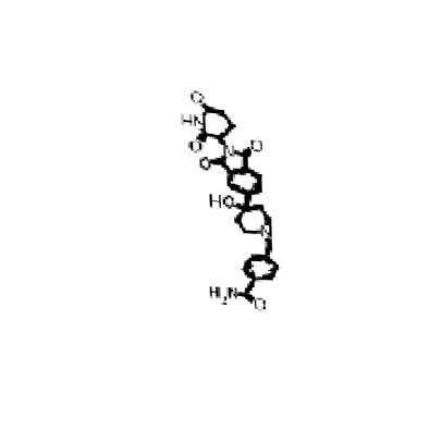 NC(=O)c1ccc(CN2CCC(O)(c3ccc4c(c3)C(=O)N(C3CCC(=O)NC3=O)C4=O)CC2)cc1